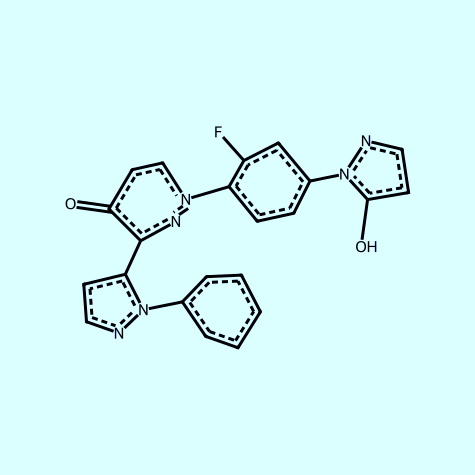 O=c1ccn(-c2ccc(-n3nccc3O)cc2F)nc1-c1ccnn1-c1ccccc1